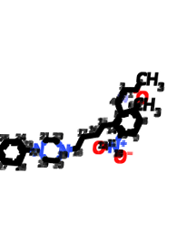 CC(=O)/C=C\c1c(C)ccc([N+](=O)[O-])c1CCCCN1CCN(c2ccccc2)CC1